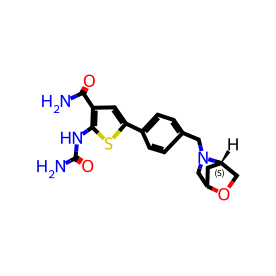 NC(=O)Nc1sc(-c2ccc(CN3CC4C[C@H]3CO4)cc2)cc1C(N)=O